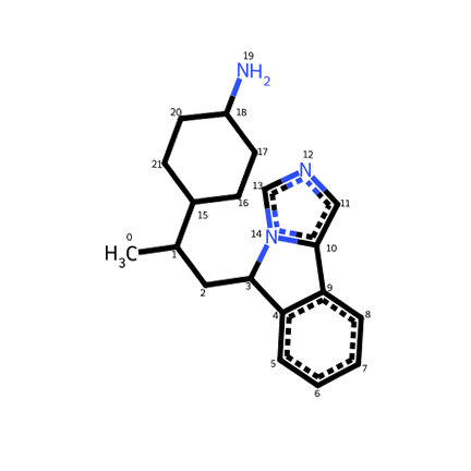 CC(CC1c2ccccc2-c2cncn21)C1CCC(N)CC1